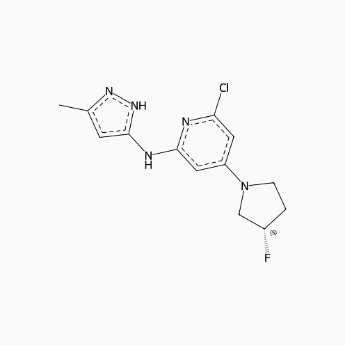 Cc1cc(Nc2cc(N3CC[C@H](F)C3)cc(Cl)n2)[nH]n1